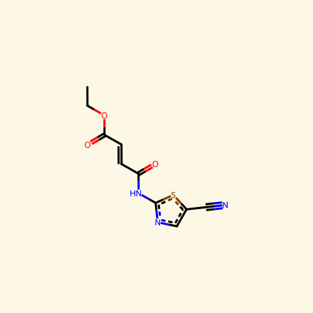 CCOC(=O)/C=C/C(=O)Nc1ncc(C#N)s1